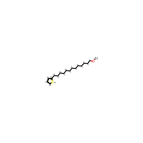 CCOCCCCCCCCCCCCCc1cccs1